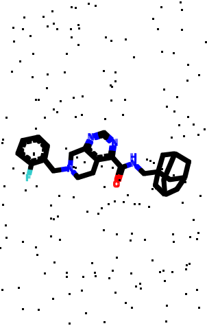 O=C(NCC12CC3CC(CC(C3)C1)C2)c1ncnc2c1CCN(Cc1ccccc1F)C2